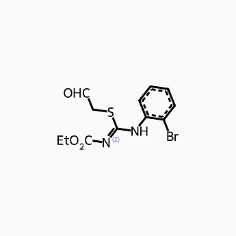 CCOC(=O)/N=C(/Nc1ccccc1Br)SCC=O